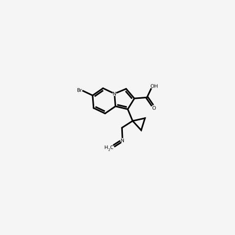 C=NCC1(c2c(C(=O)O)cn3cc(Br)ccc23)CC1